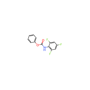 O=C(Nc1c(F)cc(F)cc1F)Oc1ccccc1